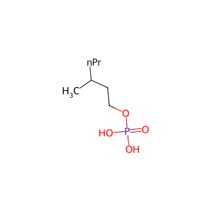 CCCC(C)CCOP(=O)(O)O